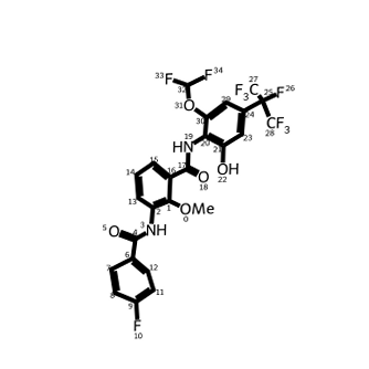 COc1c(NC(=O)c2ccc(F)cc2)cccc1C(=O)Nc1c(O)cc(C(F)(C(F)(F)F)C(F)(F)F)cc1OC(F)F